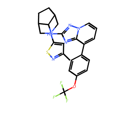 Cc1cc(N2CC3CCC(C2)C3Nc2nc3c(-c4ccc(OC(F)(F)F)cc4)cccn3n2)sn1